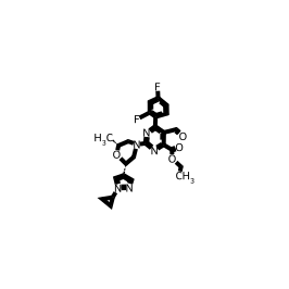 CCOC(=O)c1nc(N2C[C@@H](C)O[C@@H](c3cnn(C4CC4)c3)C2)nc(-c2ccc(F)cc2F)c1C=O